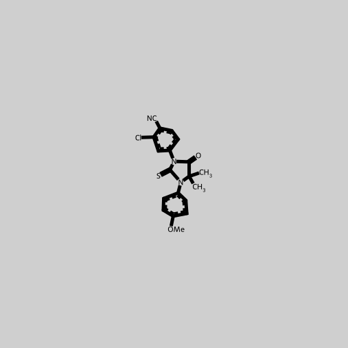 COc1ccc(N2C(=S)N(c3ccc(C#N)c(Cl)c3)C(=O)C2(C)C)cc1